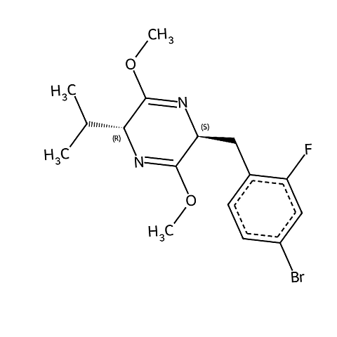 COC1=N[C@H](C(C)C)C(OC)=N[C@H]1Cc1ccc(Br)cc1F